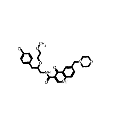 COCCOC(CNC(=O)c1c[nH]c2ccc(CN3CCOCC3)cc2c1=O)Cc1ccc(Cl)cc1